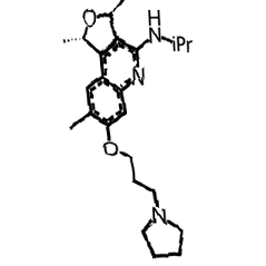 Cc1cc2c3c(c(NC(C)C)nc2cc1OCCCN1CCCC1)[C@H](C)O[C@H]3C